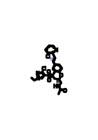 CCn1cc(S(=O)(=O)N2C[C@H](CNC(C)=O)Oc3ccc(/C=C/c4ncccc4Cl)cc32)c(Cl)n1